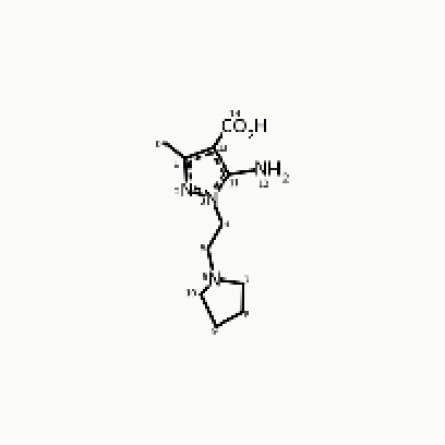 Cc1nn(CCN2CCCC2)c(N)c1C(=O)O